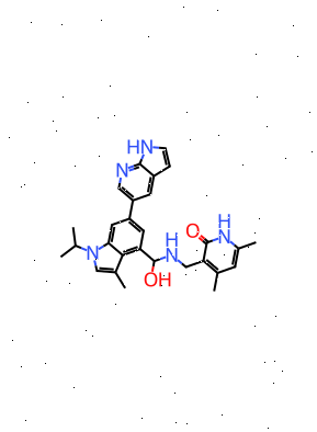 Cc1cc(C)c(CNC(O)c2cc(-c3cnc4[nH]ccc4c3)cc3c2c(C)cn3C(C)C)c(=O)[nH]1